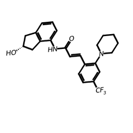 O=C(/C=C/c1ccc(C(F)(F)F)cc1N1CCCCC1)Nc1cccc2c1C[C@H](O)C2